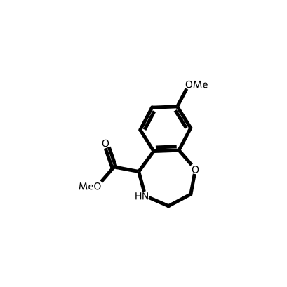 COC(=O)C1NCCOc2cc(OC)ccc21